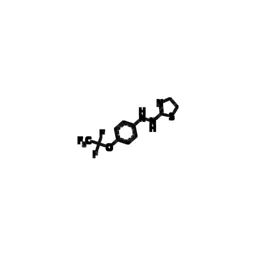 FC(F)(F)C(F)(F)Oc1ccc(NNC2=NCCS2)cc1